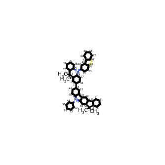 CC1(C)c2ccccc2-c2cc3c4cc(-c5ccc6c(c5)C(C)(C)c5ccccc5N6c5ccc6sc7ccccc7c6c5)ccc4n(-c4ccccc4)c3cc21